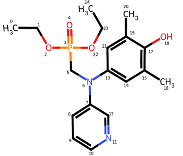 CCOP(=O)(CN(c1cccnc1)c1cc(C)c(O)c(C)c1)OCC